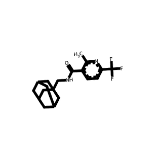 Cc1nc(C(F)(F)F)ccc1C(=O)NCC12CC3CC(CC(C3)C1)C2